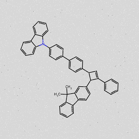 CC1(C)c2ccccc2-c2ccc(C3C(c4ccccc4)=CC3c3ccc(-c4ccc(-n5c6ccccc6c6ccccc65)cc4)cc3)cc21